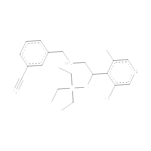 CC[Si](CC)(CC)OC(CNCc1cccc(C#N)c1)c1c(Cl)cncc1Cl